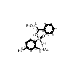 CCOC(=O)C(O[As](=O)(O)c1ccc(O)cc1NC(C)=O)c1ccccc1